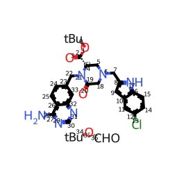 CC(C)(C)OC(=O)[C@@H]1CN(Cc2cc3cc(Cl)ccc3[nH]2)CC(=O)N1Cc1ccc2c(N)ncnc2c1.CC(C)(C)OC=O